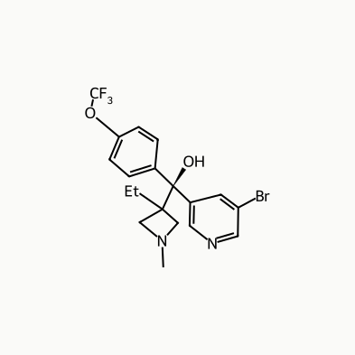 CCC1([C@](O)(c2ccc(OC(F)(F)F)cc2)c2cncc(Br)c2)CN(C)C1